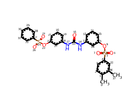 Cc1ccc(S(=O)(=O)Oc2cccc(NC(=O)Nc3cccc(OS(=O)(=O)c4ccccc4)c3)c2)cc1C